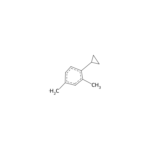 [CH2]c1ccc(C2CC2)c(C)c1